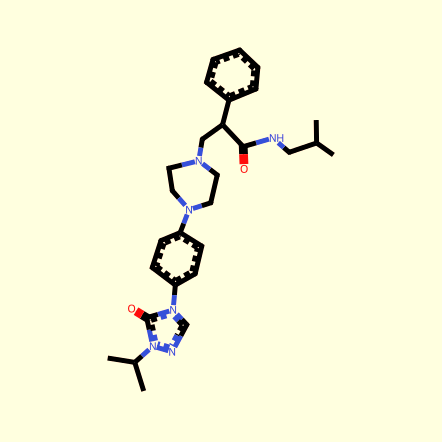 CC(C)CNC(=O)C(CN1CCN(c2ccc(-n3cnn(C(C)C)c3=O)cc2)CC1)c1ccccc1